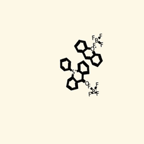 F[B-](F)(F)F.F[B-](F)(F)F.O=c1c2ccccc2[s+](-c2ccccc2)c2ccccc12.c1ccc2[o+]c3ccccc3cc2c1